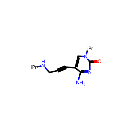 CC(C)NCC#Cc1cn(C(C)C)c(=O)nc1N